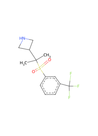 CC(C)(C1CNC1)S(=O)(=O)c1cccc(C(F)(F)F)c1